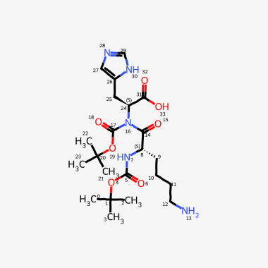 CC(C)(C)OC(=O)N[C@@H](CCCCN)C(=O)N(C(=O)OC(C)(C)C)[C@@H](Cc1cnc[nH]1)C(=O)O